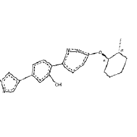 Oc1cc(-c2cn[nH]c2)ccc1-c1ccc(O[C@@H]2CCCC[C@H]2F)nn1